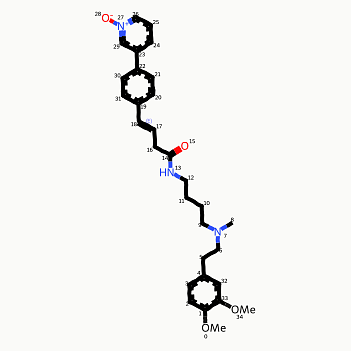 COc1ccc(CCN(C)CCCCNC(=O)C/C=C/c2ccc(-c3ccc[n+]([O-])c3)cc2)cc1OC